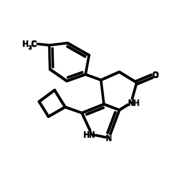 Cc1ccc(C2CC(=O)Nc3n[nH]c(C4CCC4)c32)cc1